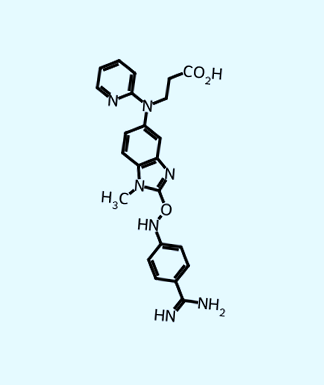 Cn1c(ONc2ccc(C(=N)N)cc2)nc2cc(N(CCC(=O)O)c3ccccn3)ccc21